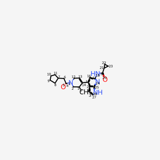 CC1CN(C(=O)CC2CCCC2)CC=C1c1cc(NC(=O)C2CC2)nc2[nH]ccc12